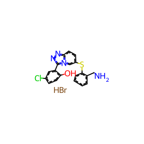 Br.NCc1ccccc1Sc1ccc2nnc(-c3cc(Cl)ccc3O)n2c1